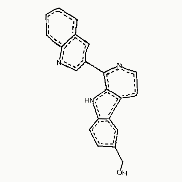 OCc1ccc2[nH]c3c(-c4cnc5ccccc5c4)nccc3c2c1